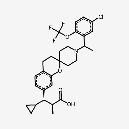 CC(c1cc(Cl)ccc1OC(F)(F)F)N1CCC2(CCc3ccc([C@H](C4CC4)[C@H](C)C(=O)O)cc3O2)CC1